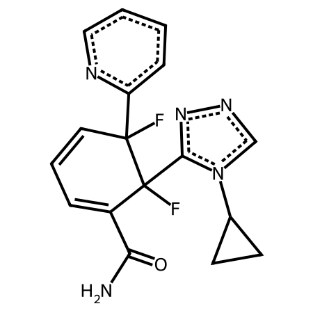 NC(=O)C1=CC=CC(F)(c2ccccn2)C1(F)c1nncn1C1CC1